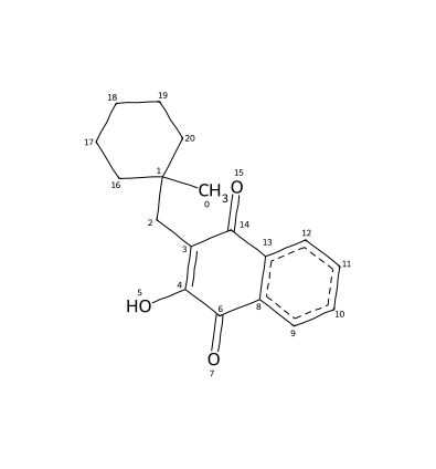 CC1(CC2=C(O)C(=O)c3ccccc3C2=O)CCCCC1